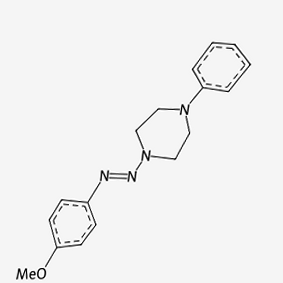 COc1ccc(N=NN2CCN(c3ccccc3)CC2)cc1